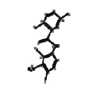 C=C(Nc1ccc(F)c(N)c1F)c1cc(C)ccc1C